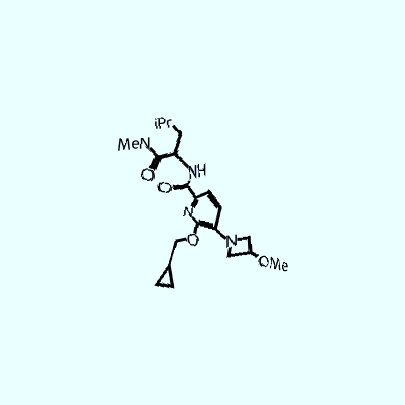 CNC(=O)C(CC(C)C)NC(=O)c1ccc(N2CC(OC)C2)c(OCC2CC2)n1